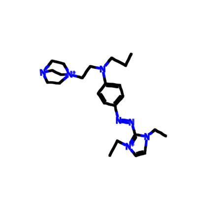 CCCN(CC[N+]12CCN(CC1)CC2)c1ccc(/N=N/c2n(CC)cc[n+]2CC)cc1